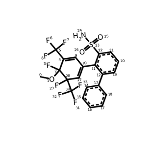 COC1(F)C(C(F)(F)F)=CC(c2c(-c3ccccc3)cccc2S(N)(=O)=O)=CC1(F)C(F)(F)F